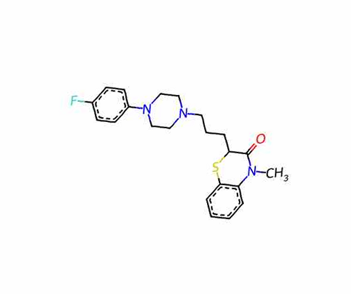 CN1C(=O)C(CCCN2CCN(c3ccc(F)cc3)CC2)Sc2ccccc21